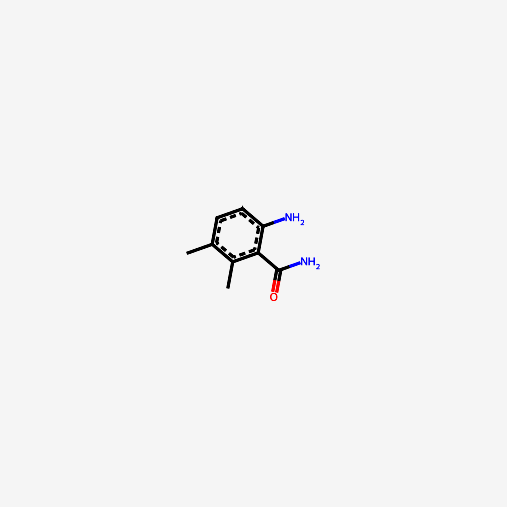 Cc1c[c]c(N)c(C(N)=O)c1C